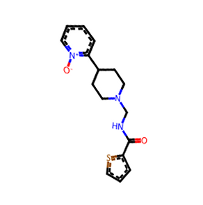 O=C(NCN1CCC(c2cccc[n+]2[O-])CC1)c1cccs1